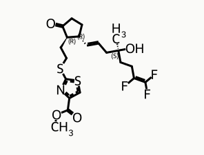 COC(=O)c1csc(SCC[C@H]2C(=O)CC[C@@H]2C=CC[C@@](C)(O)CCC(F)=C(F)F)n1